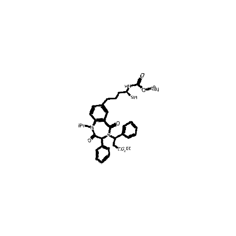 CCOC(=O)CC(c1ccccc1)N1C(=O)c2cc(CCCC(S)NC(=O)OC(C)(C)C)ccc2N(C(C)C)C(=O)C1c1ccccc1